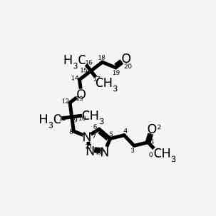 CC(=O)CCc1cn(CC(C)(C)COCC(C)(C)CC=O)nn1